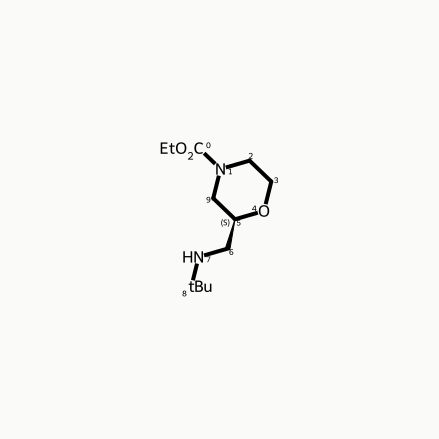 CCOC(=O)N1CCO[C@@H](CNC(C)(C)C)C1